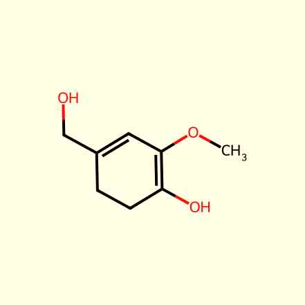 COC1=C(O)CCC(CO)=C1